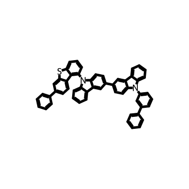 c1ccc(-c2cccc(-n3c4ccccc4c4cc(-c5ccc6c(c5)c5ccccc5n6-c5cccc6sc7cc(-c8ccccc8)ccc7c56)ccc43)c2)cc1